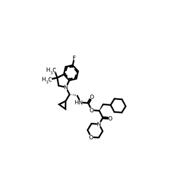 CC1(C)CN([C@H](CNC(=O)O[C@@H](CC2CCCCC2)C(=O)N2CCOCC2)C2CC2)c2ccc(F)cc21